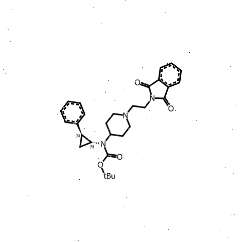 CC(C)(C)OC(=O)N(C1CCN(CCN2C(=O)c3ccccc3C2=O)CC1)[C@@H]1C[C@H]1c1ccccc1